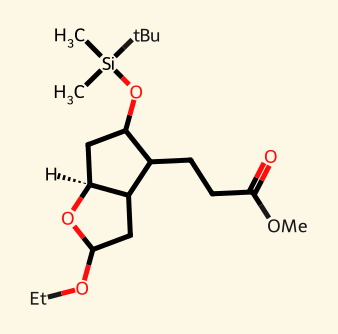 CCOC1CC2C(CCC(=O)OC)C(O[Si](C)(C)C(C)(C)C)C[C@@H]2O1